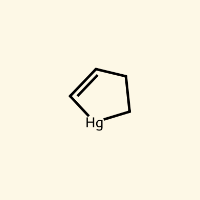 C1=[CH][Hg][CH2]C1